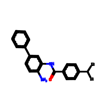 CCC(CC)c1ccc(C(=O)Nc2cc(-c3ccccc3)ccc2N)cc1